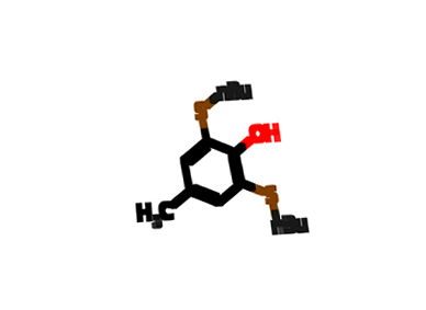 CCCCSc1cc(C)cc(SCCCC)c1O